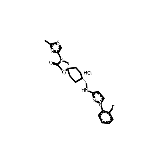 Cc1nc(N2C[C@]3(CC[C@@H](CNc4ccn(-c5ccccc5F)n4)CC3)OC2=O)cs1.Cl